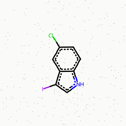 Clc1ccc2[nH]cc(I)c2c1